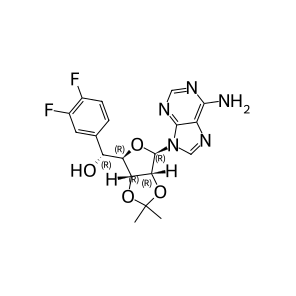 CC1(C)O[C@H]2[C@@H](O1)[C@H](n1cnc3c(N)ncnc31)O[C@@H]2[C@H](O)c1ccc(F)c(F)c1